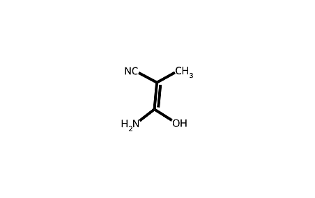 C/C(C#N)=C(/N)O